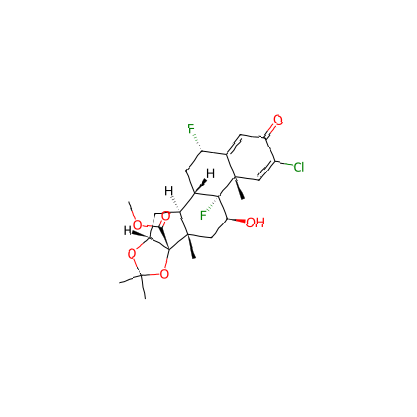 COC(=O)[C@@]12OC(C)(C)O[C@@H]1C[C@H]1[C@@H]3C[C@H](F)C4=CC(=O)C(Cl)=C[C@]4(C)[C@@]3(F)[C@@H](O)C[C@@]12C